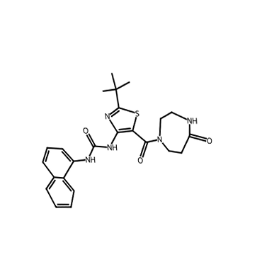 CC(C)(C)c1nc(NC(=O)Nc2cccc3ccccc23)c(C(=O)N2CCNC(=O)CC2)s1